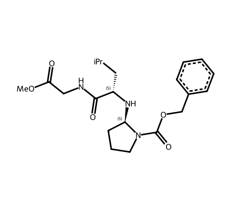 COC(=O)CNC(=O)[C@H](CC(C)C)N[C@@H]1CCCN1C(=O)OCc1ccccc1